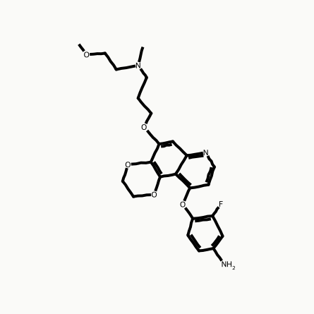 COCCN(C)CCCOc1cc2nccc(Oc3ccc(N)cc3F)c2c2c1OCCO2